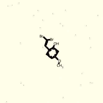 COc1ccc(C=C(Br)Br)c(O)c1